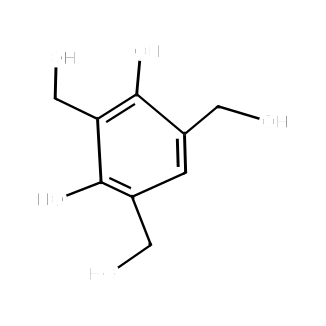 OCc1cc(CO)c(O)c(CO)c1O